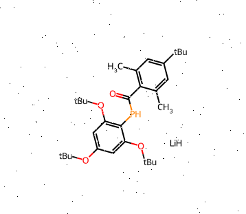 Cc1cc(C(C)(C)C)cc(C)c1C(=O)Pc1c(OC(C)(C)C)cc(OC(C)(C)C)cc1OC(C)(C)C.[LiH]